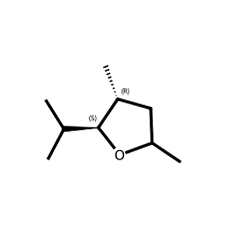 CC1C[C@@H](C)[C@H](C(C)C)O1